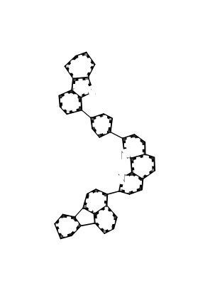 c1ccc2c(c1)-c1cccc3c(-c4ccc5ccc6ccc(-c7ccc(-c8cccc9c8sc8ccccc89)cc7)nc6c5n4)ccc-2c13